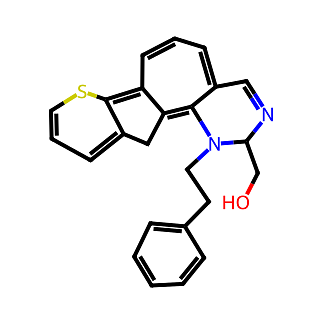 OCC1N=CC2=CC=CC3=C4SC=CC=C4CC3=C2N1CCc1ccccc1